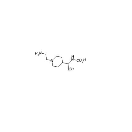 CC(C)(C)C(NC(=O)O)C1CCN(CCN)CC1